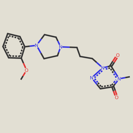 COc1ccccc1N1CCN(CCCn2ncc(=O)n(C)c2=O)CC1